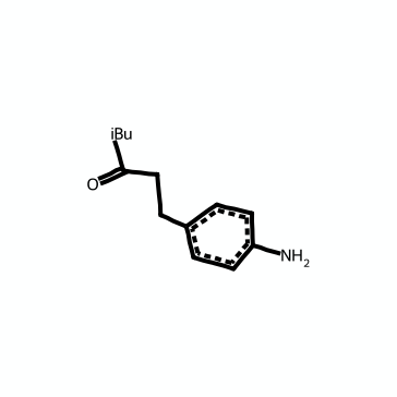 CCC(C)C(=O)CCc1ccc(N)cc1